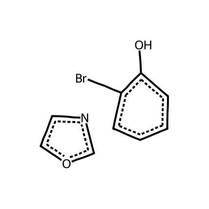 Oc1ccccc1Br.c1cocn1